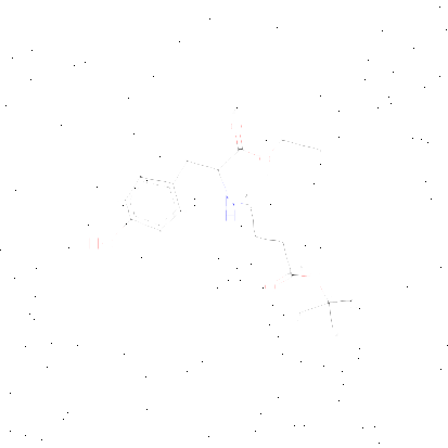 CCOC(=O)C(Cc1ccc(O)cc1)NCCCC(=O)OC(C)(C)C